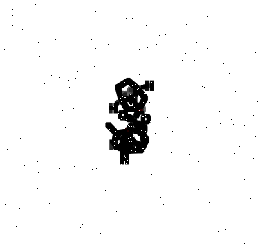 Cc1n[nH]c(C)c1S(=O)(=O)CN1[C@@H]2CC[C@H]1C[C@H](Oc1ccccc1)C2